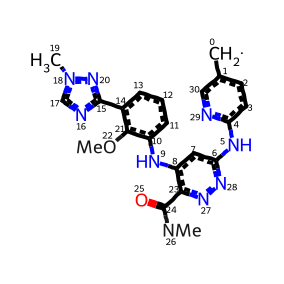 [CH2]c1ccc(Nc2cc(Nc3cccc(-c4ncn(C)n4)c3OC)c(C(=O)NC)nn2)nc1